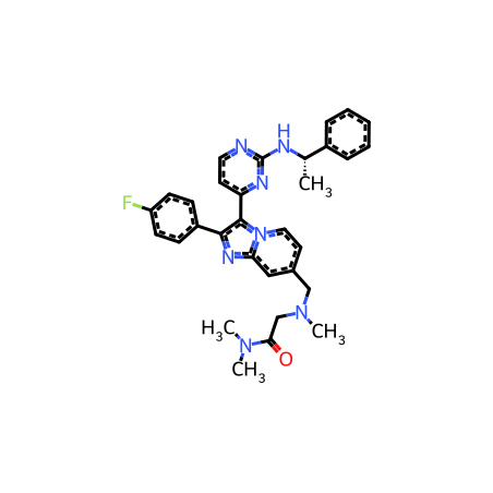 C[C@H](Nc1nccc(-c2c(-c3ccc(F)cc3)nc3cc(CN(C)CC(=O)N(C)C)ccn23)n1)c1ccccc1